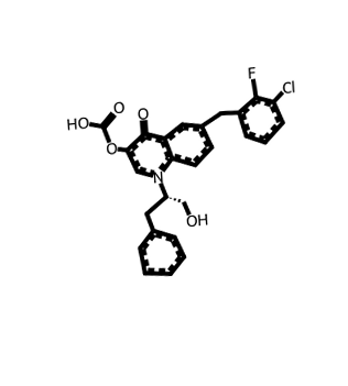 O=C(O)Oc1cn([C@H](CO)Cc2ccccc2)c2ccc(Cc3cccc(Cl)c3F)cc2c1=O